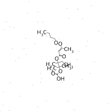 CCCCOOC(C)=CC(=O)OC(C)(CC)C(C)(C)OC(=O)O